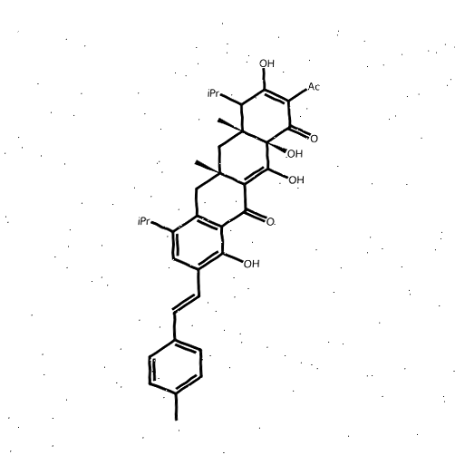 CC(=O)C1=C(O)C(C(C)C)[C@@]2(C)C[C@@]3(C)Cc4c(C(C)C)cc(/C=C/c5ccc(C)cc5)c(O)c4C(=O)C3=C(O)[C@@]2(O)C1=O